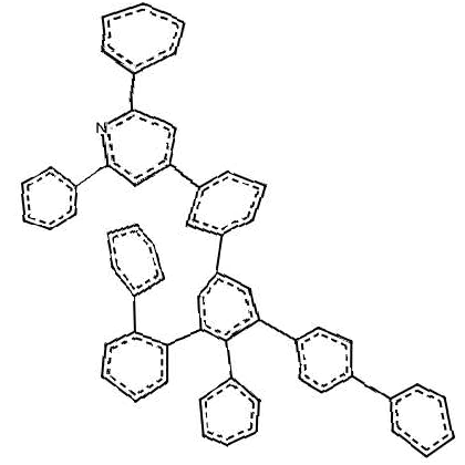 c1ccc(-c2ccc(-c3cc(-c4cccc(-c5cc(-c6ccccc6)nc(-c6ccccc6)c5)c4)cc(-c4ccccc4-c4ccccc4)c3-c3ccccc3)cc2)cc1